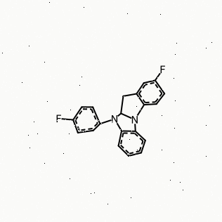 Fc1ccc(N2c3ccccc3N3c4ccc(F)cc4CC23)cc1